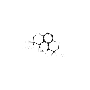 COC1(Cl)COc2ccc3c4c(nnc1c24)C(Cl)(OC)CO3